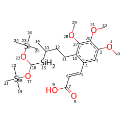 COc1cc(C=CC(=O)O)c(CCC(C)[SiH2]C(O[Si](C)(C)C)O[Si](C)(C)C)c(OC)c1OC